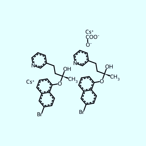 C[C@](O)(CCc1cccnc1)Oc1cccc2cc(Br)ccc12.C[C@](O)(CCc1cccnc1)Oc1cccc2cc(Br)ccc12.O=C([O-])[O-].[Cs+].[Cs+]